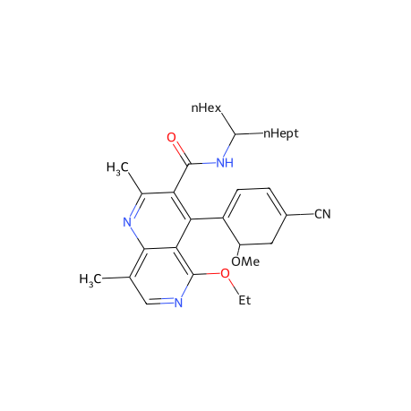 CCCCCCCC(CCCCCC)NC(=O)c1c(C)nc2c(C)cnc(OCC)c2c1C1=CC=C(C#N)CC1OC